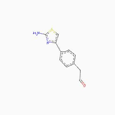 Nc1nc(-c2ccc(CC=O)cc2)cs1